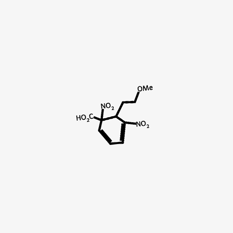 COCCC1C([N+](=O)[O-])=CC=CC1(C(=O)O)[N+](=O)[O-]